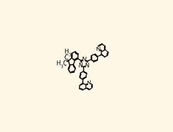 CC1(C)c2ccccc2-c2c(-c3nc(-c4ccc(-c5cccc6cccnc56)cc4)nc(-c4ccc(-c5cccc6cccnc56)cc4)n3)cccc21